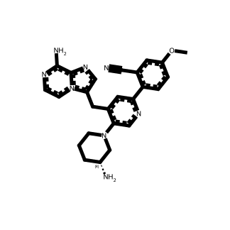 COc1ccc(-c2cc(Cc3cnc4c(N)nccn34)c(N3CCC[C@@H](N)C3)cn2)c(C#N)c1